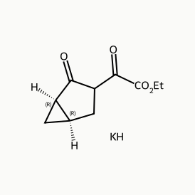 CCOC(=O)C(=O)C1C[C@H]2C[C@H]2C1=O.[KH]